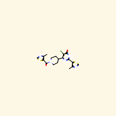 Cc1ncsc1C(=O)N1CCC(c2nc(-c3scnc3C)[nH]c(=O)c2Cl)CC1